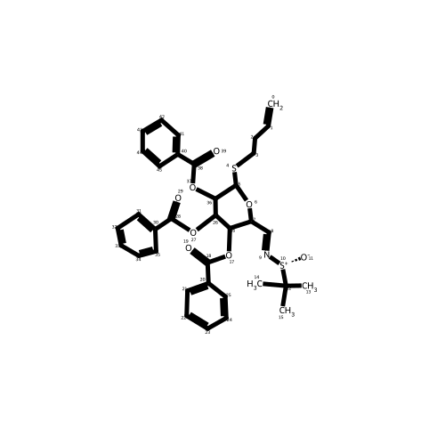 C=CCCSC1OC(/C=N/[S@+]([O-])C(C)(C)C)C(OC(=O)c2ccccc2)C(OC(=O)c2ccccc2)C1OC(=O)c1ccccc1